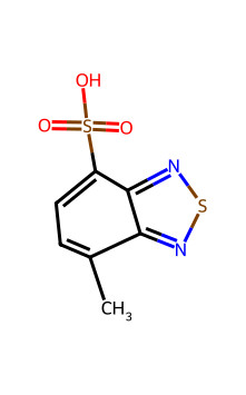 Cc1ccc(S(=O)(=O)O)c2nsnc12